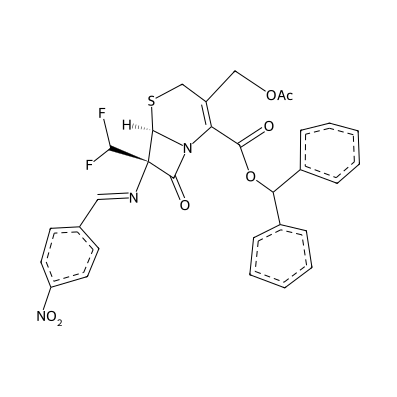 CC(=O)OCC1=C(C(=O)OC(c2ccccc2)c2ccccc2)N2C(=O)[C@@](N=Cc3ccc([N+](=O)[O-])cc3)(C(F)F)[C@H]2SC1